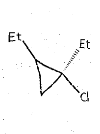 CCC1C[C@@]1(Cl)CC